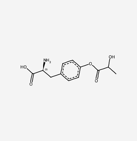 CC(O)C(=O)Oc1ccc(C[C@H](N)C(=O)O)cc1